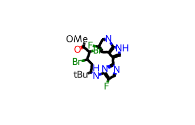 COC(=O)C(Br)C(Br)CC(Nc1nc(-c2c[nH]c3ncc(F)cc23)ncc1F)C(C)(C)C